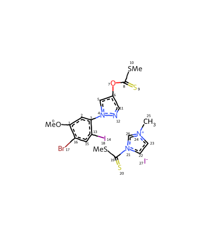 COc1cc(-n2cc(OC(=S)SC)cn2)c(I)cc1Br.CSC(=S)n1cc[n+](C)c1.[I-]